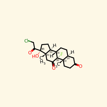 C[C@]12CCC(=O)C[C@@H]1CC[C@H]1[C@@H]3CC[C@](O)(C(=O)CCl)[C@@]3(C)CC(=O)[C@@]12F